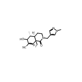 C[C@H]1C(O)C(C#N)=C[C@@]2(P)C(=O)N(Cc3cnn(C)c3)CC[C@H]12